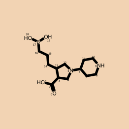 O=C(O)C1CN(C2CCNCC2)CC1CCCB(O)O